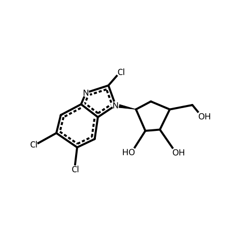 OCC1C[C@H](n2c(Cl)nc3cc(Cl)c(Cl)cc32)C(O)C1O